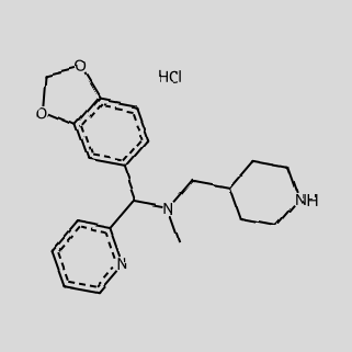 CN(CC1CCNCC1)C(c1ccc2c(c1)OCO2)c1ccccn1.Cl